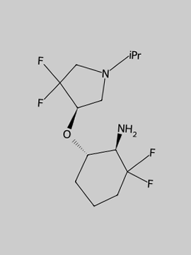 CC(C)N1C[C@@H](O[C@H]2CCCC(F)(F)[C@@H]2N)C(F)(F)C1